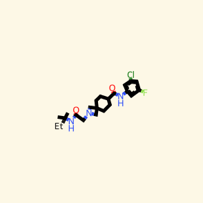 CCC(C)(C)NC(=O)CN1CC2(CCC(C(=O)Nc3cc(F)cc(Cl)c3)CC2)C1